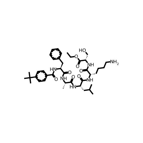 CCOC(=O)[C@H](CO)NC(=O)[C@H](CCCCN)NC(=O)[C@H](CC(C)C)NC(=O)[C@H](C)NC(=O)[C@H](Cc1ccccc1)NC(=O)c1ccc(C(C)(C)C)cc1